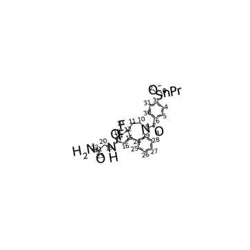 CCC[S+]([O-])c1ccc(C(=O)N2CCC(F)(F)/C(=C\C(=O)NCC(N)=O)c3ccccc32)cc1